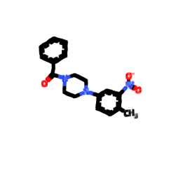 Cc1ccc(N2CCN(C(=O)c3ccccc3)CC2)cc1[N+](=O)[O-]